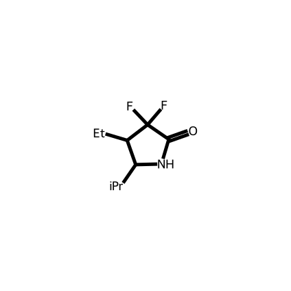 CCC1C(C(C)C)NC(=O)C1(F)F